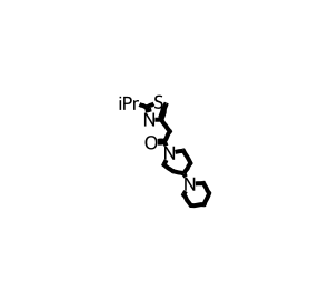 CC(C)c1nc(CC(=O)N2CCC(N3CCCCC3)CC2)cs1